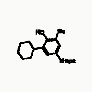 CCCCCCCc1cc(C2CCCCC2)c(O)c(C(C)(C)C)c1